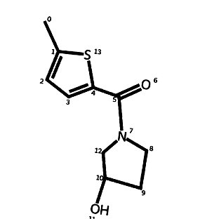 Cc1ccc(C(=O)N2CCC(O)C2)s1